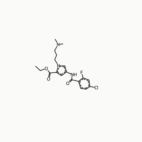 CCOC(=O)c1cc(NC(=O)c2ccc(Cl)cc2F)cn1CCCN(C)C